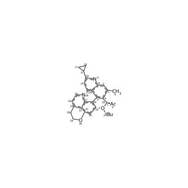 CC(=O)[C@@H](OC(C)(C)C)c1c(C)cc2nc(C3CC3)ccc2c1-c1ccc2c3c(ccnc13)CCO2